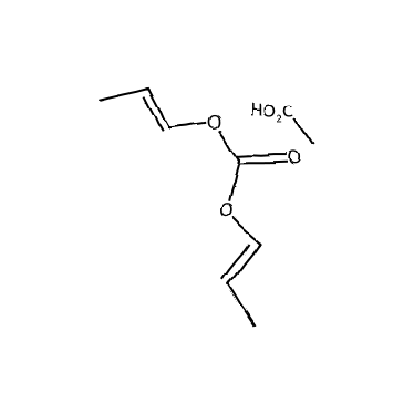 CC(=O)O.CC=COC(=O)OC=CC